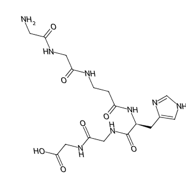 NCC(=O)NCC(=O)NCCC(=O)N[C@@H](Cc1c[nH]cn1)C(=O)NCC(=O)NCC(=O)O